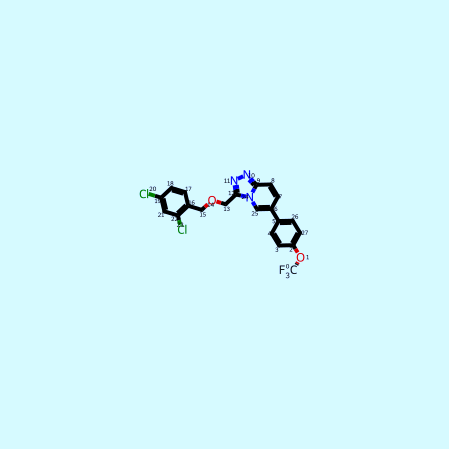 FC(F)(F)Oc1ccc(-c2ccc3nnc(COCc4ccc(Cl)cc4Cl)n3c2)cc1